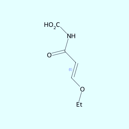 CCO/C=C/C(=O)NC(=O)O